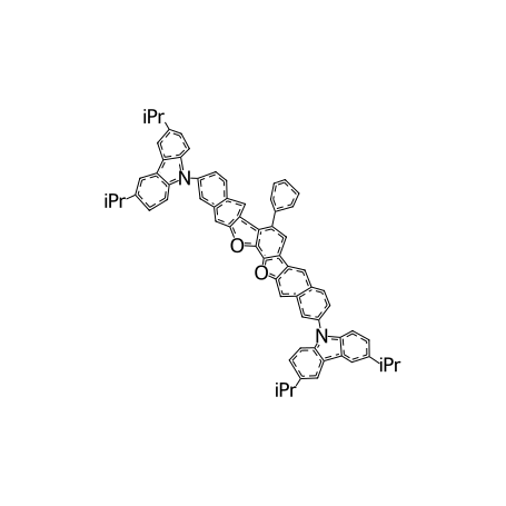 CC(C)c1ccc2c(c1)c1cc(C(C)C)ccc1n2-c1ccc2cc3c(cc2c1)oc1c3cc(-c2ccccc2)c2c3cc4ccc(-n5c6ccc(C(C)C)cc6c6cc(C(C)C)ccc65)cc4cc3oc12